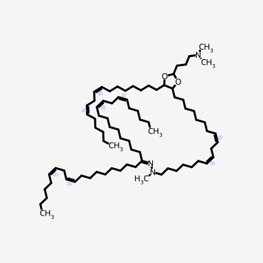 CCCCC/C=C\C/C=C\CCCCCCCCC(CCCCCCCC/C=C\C/C=C\CCCCC)=NN(C)CCCCCC/C=C\C/C=C\CCCCCCCC1OC(CCCN(C)C)OC1CCCCCCC/C=C\C/C=C\CCCCC